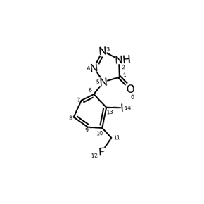 O=c1[nH]nnn1-c1cccc(CF)c1I